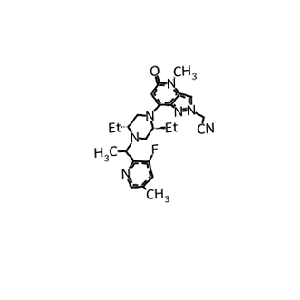 CC[C@H]1CN(C(C)c2ncc(C)cc2F)[C@H](CC)CN1c1cc(=O)n(C)c2cn(CC#N)nc12